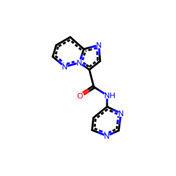 O=C(Nc1ccncn1)c1cnc2cccnn12